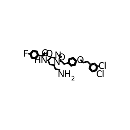 NCCCCC(NC(=O)c1ccc(F)cc1)C(=O)c1noc(Cc2ccc(OCCc3ccc(Cl)c(Cl)c3)cc2)n1